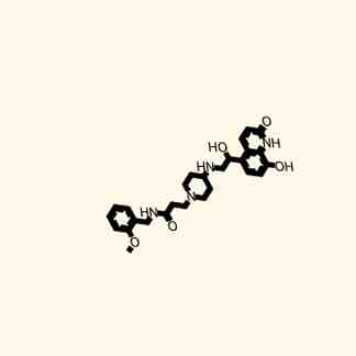 COc1ccccc1CNC(=O)CCN1CCC(NCC(O)c2ccc(O)c3[nH]c(=O)ccc23)CC1